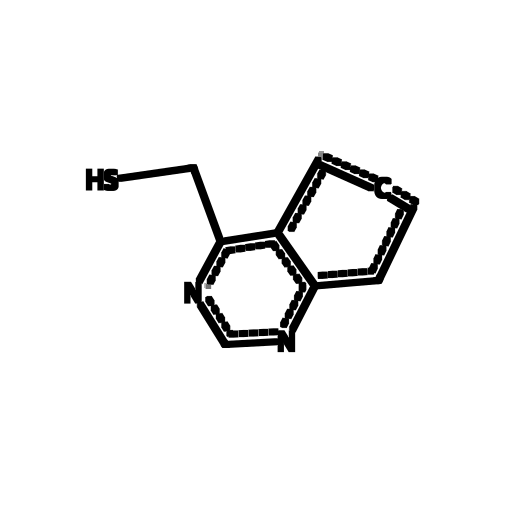 SCc1ncnc2ccccc12